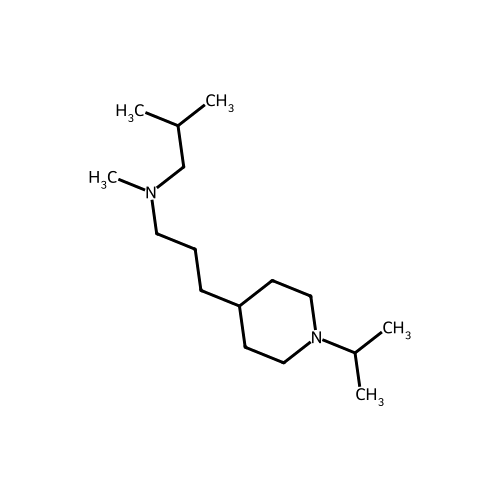 CC(C)CN(C)CCCC1CCN(C(C)C)CC1